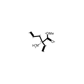 C=CC[C@](N)(C=C)C(=O)OC